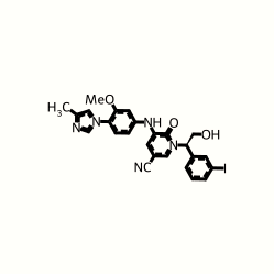 COc1cc(Nc2cc(C#N)cn([C@@H](CO)c3cccc(I)c3)c2=O)ccc1-n1cnc(C)c1